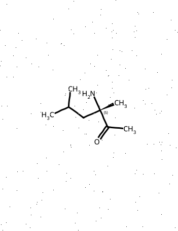 CC(=O)[C@@](C)(N)CC(C)C